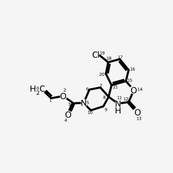 C=COC(=O)N1CCC2(CC1)NC(=O)Oc1ccc(Cl)cc12